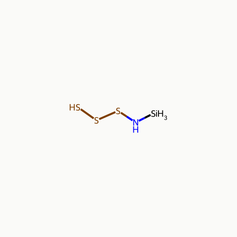 [SiH3]NSSS